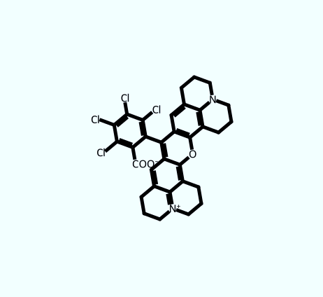 O=C([O-])c1c(Cl)c(Cl)c(Cl)c(Cl)c1C1=c2cc3c4c(c2Oc2c1cc1c5c2CCCN5CCC1)CCC[N+]=4CCC3